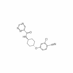 N#Cc1ccc(O[C@H]2CC[C@H](NC(=O)c3cncnn3)CC2)cc1Cl